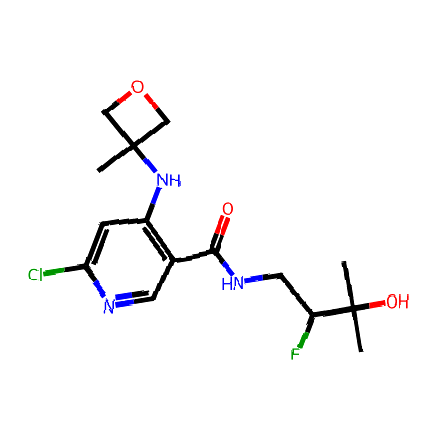 CC1(Nc2cc(Cl)ncc2C(=O)NCC(F)C(C)(C)O)COC1